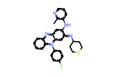 Cc1ncccc1Nc1cc2nc3ccccc3n(-c3ccc(F)cc3)c-2c/c1=N\C1CCSCC1